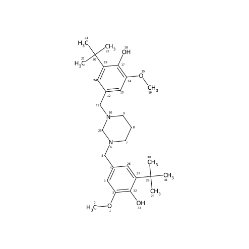 COc1cc(CN2CCCN(Cc3cc(OC)c(O)c(C(C)(C)C)c3)C2)cc(C(C)(C)C)c1O